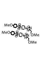 COCCc1noc(N2CCN(S(=O)(=O)c3ccc(OC)cc3)CC2)n1.COCCc1noc(N2CCN(S(=O)(=O)c3ccc(OC)cc3)CC2)n1